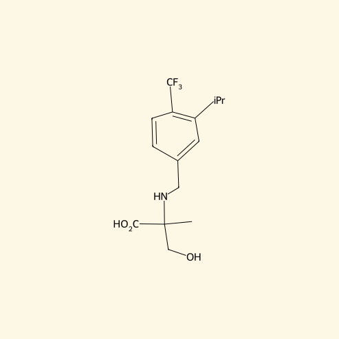 CC(C)c1cc(CNC(C)(CO)C(=O)O)ccc1C(F)(F)F